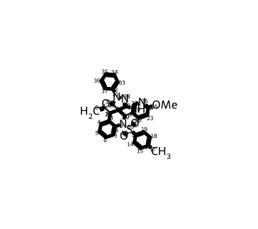 C=C[C@@H]1c2ccccc2N(S(=O)(=O)c2ccc(C)cc2)[C@H](c2ccc(OC)nc2)[C@]12C(=O)N(c1ccccc1)N=C2C